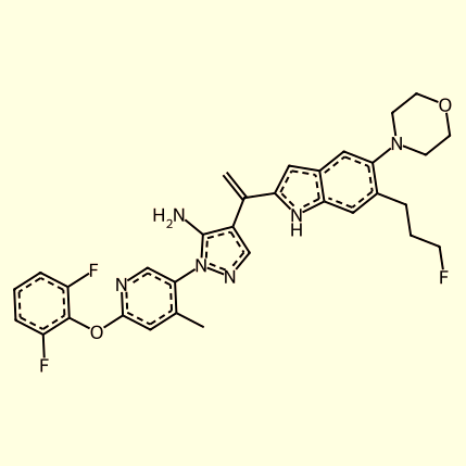 C=C(c1cc2cc(N3CCOCC3)c(CCCF)cc2[nH]1)c1cnn(-c2cnc(Oc3c(F)cccc3F)cc2C)c1N